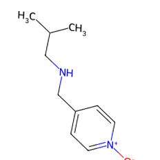 CC(C)CNCc1cc[n+]([O-])cc1